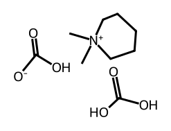 C[N+]1(C)CCCCC1.O=C(O)O.O=C([O-])O